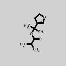 C=C(C)C(=O)OC(C)(C)C1=COCC1